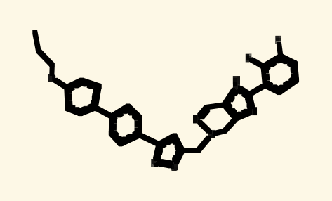 CCCOc1ccc(-c2ccc(-c3cc(CN4Cc5nc(-c6cccc(F)c6F)[nH]c5C=N4)on3)cc2)cc1